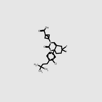 CC(C)(C)CCc1ccc(C23CCC(F)(F)CC2=CN(C24CC(C(=O)O)(C2)C4)C(=O)N3)cc1Cl